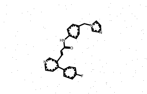 O=C(C=Cc1cnccc1-c1ccc(F)cc1)Nc1ccc(Cn2ccnc2)cc1